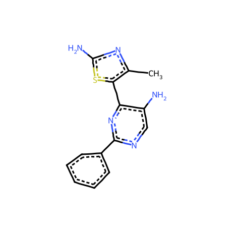 Cc1nc(N)sc1-c1nc(-c2ccccc2)ncc1N